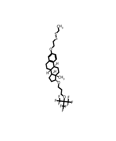 CCSSCCOc1ccc2c(c1)CC[C@@H]1[C@@H]2CC[C@]2(C)[C@@H](OCCCOC(C(F)(F)F)(C(F)(F)F)C(F)(F)F)CC[C@@H]12